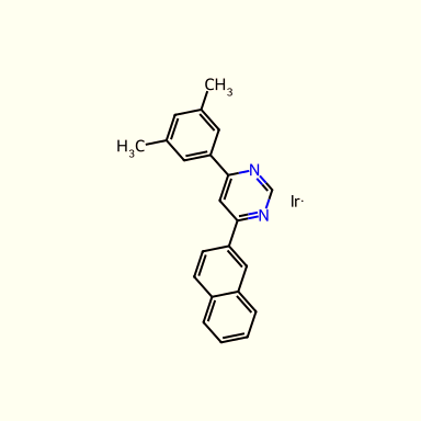 Cc1cc(C)cc(-c2cc(-c3ccc4ccccc4c3)ncn2)c1.[Ir]